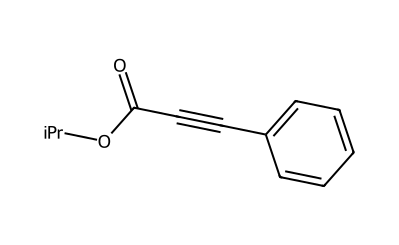 CC(C)OC(=O)C#Cc1ccccc1